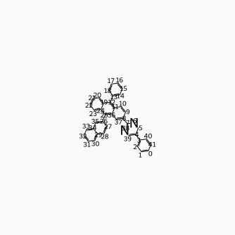 c1ccc(-c2cnc(-c3ccc4c(-c5ccccc5)c5ccccc5c(-c5ccc6ccccc6c5)c4c3)nc2)cc1